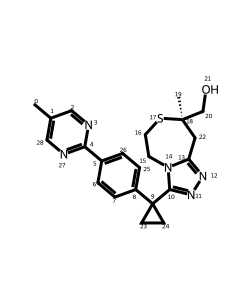 Cc1cnc(-c2ccc(C3(c4nnc5n4CCS[C@@](C)(CO)C5)CC3)cc2)nc1